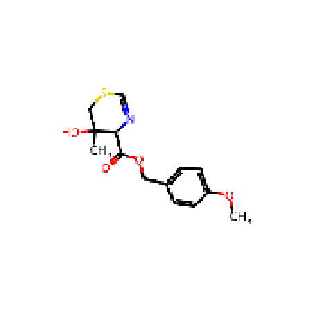 COc1ccc(COC(=O)C2N=CSCC2(C)O)cc1